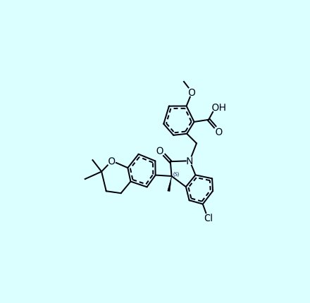 COc1cccc(CN2C(=O)[C@@](C)(c3ccc4c(c3)CCC(C)(C)O4)c3cc(Cl)ccc32)c1C(=O)O